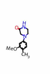 COc1cc(N2CCNC(=O)C2)ccc1C